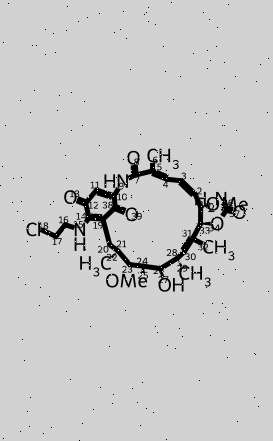 CO[C@H]1/C=C\C=C(/C)C(=O)NC2=CC(=O)C(NCCCl)=C(C[C@@H](C)C[C@H](OC)[C@H](O)[C@@H](C)/C=C(\C)[C@@H]1OC(N)=O)C2=O